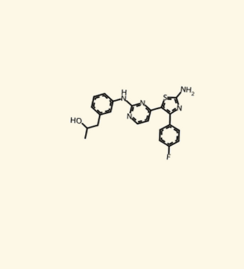 CC(O)Cc1cccc(Nc2nccc(-c3sc(N)nc3-c3ccc(F)cc3)n2)c1